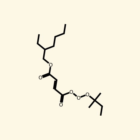 CCCCC(CC)COC(=O)/C=C/C(=O)OOOC(C)(C)CC